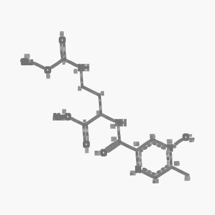 COC(=O)C(CCNC(=O)OC(C)(C)C)NC(=O)c1c[n+]([O-])c(C)cn1